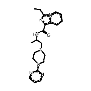 CCc1nc(C(=O)NC(C)CN2CCN(c3ncccn3)CC2)c2ccccn12